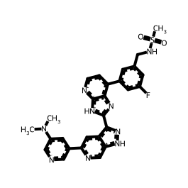 CN(C)c1cncc(-c2cc3c(-c4nc5c(-c6cc(F)cc(CNS(C)(=O)=O)c6)ccnc5[nH]4)n[nH]c3cn2)c1